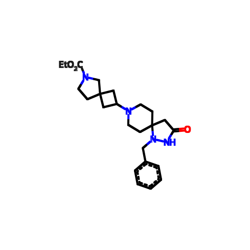 CCOC(=O)N1CCC2(CC(N3CCC4(CC3)CC(=O)NN4Cc3ccccc3)C2)C1